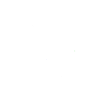 CN(C)C(c1ccccc1)c1ccc(C(=O)NC2CCCCC2)n1C.Cl